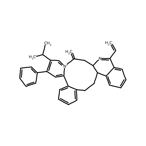 C=CC1=NC2CC(=C)[n+]3cc(C(C)C)c(-c4ccccc4)cc3-c3ccccc3CCC2c2ccccc21